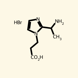 Br.CC(N)c1nccn1CCC(=O)O